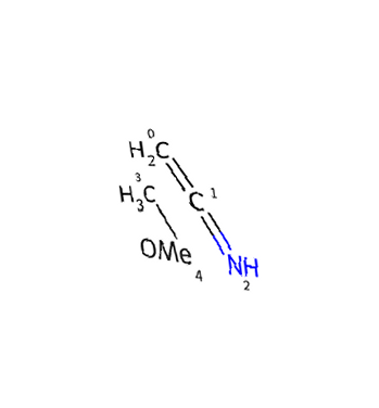 C=C=N.COC